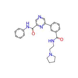 O=C(NCCN1CCCC1)c1cccc(-c2cncc(C(=O)Nc3ccccc3)n2)c1